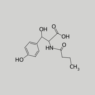 CCCC(=O)NC(C(=O)O)C(O)c1ccc(O)cc1